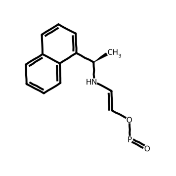 C[C@@H](NC=COP=O)c1cccc2ccccc12